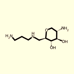 NCCCNC[C@H]1OC[C@H](N)[C@@H](O)[C@@H]1O